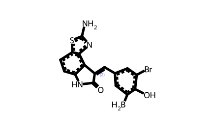 Bc1cc(/C=C2\C(=O)Nc3ccc4sc(N)nc4c32)cc(Br)c1O